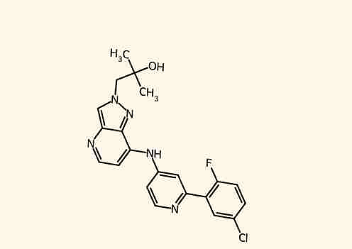 CC(C)(O)Cn1cc2nccc(Nc3ccnc(-c4cc(Cl)ccc4F)c3)c2n1